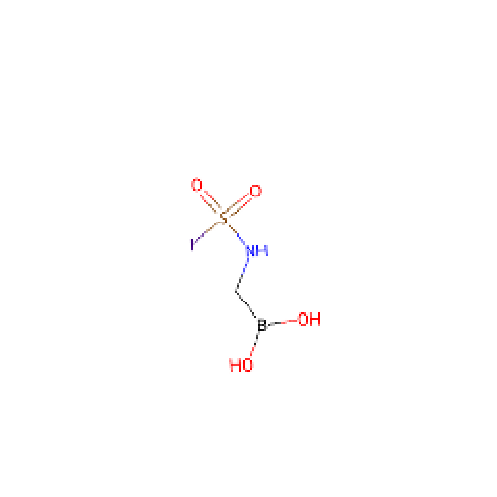 O=S(=O)(I)NCB(O)O